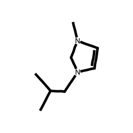 CC(C)CN1C=CN(C)C1